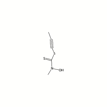 CC#CSC(=S)N(C)O